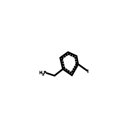 PCc1cccc(I)c1